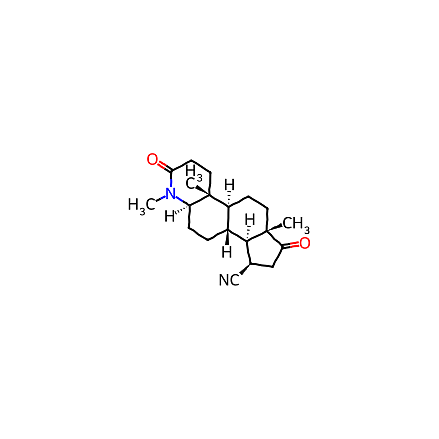 CN1C(=O)CC[C@]2(C)[C@H]3CC[C@]4(C)C(=O)C[C@@H](C#N)[C@H]4[C@@H]3CC[C@@H]12